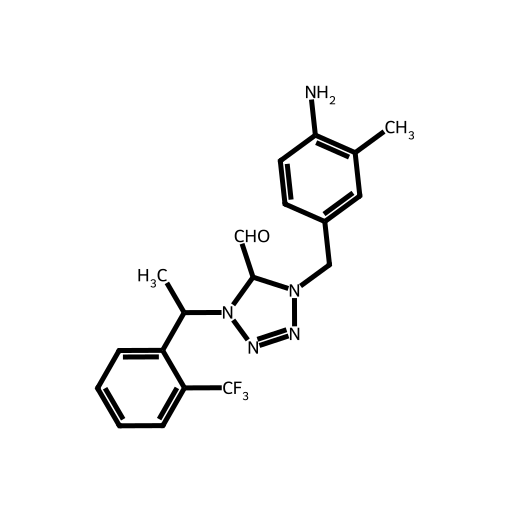 Cc1cc(CN2N=NN(C(C)c3ccccc3C(F)(F)F)C2C=O)ccc1N